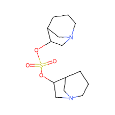 O=S(=O)(OC1CN2CCCC1C2)OC1CN2CCCC1C2